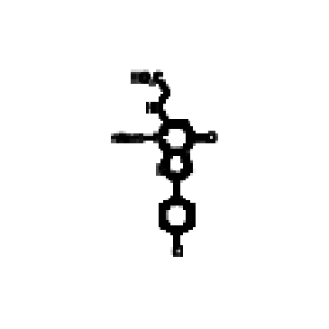 CCCCCn1c(NCC(=O)O)cc(=O)n2cc(-c3ccc(Cl)cc3)nc12